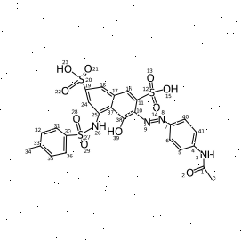 CC(=O)Nc1ccc(/N=N/c2c(S(=O)(=O)O)cc3cc(S(=O)(=O)O)cc(NS(=O)(=O)c4ccc(C)cc4)c3c2O)cc1